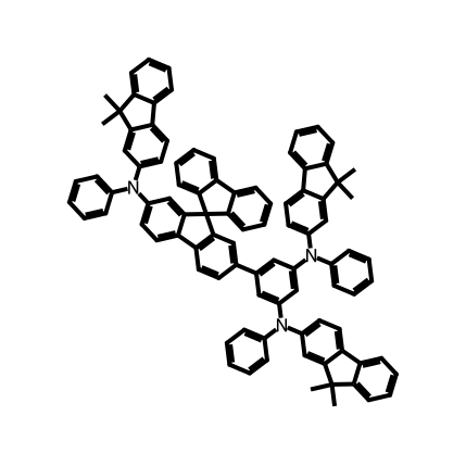 CC1(C)c2ccccc2-c2ccc(N(c3ccccc3)c3cc(-c4ccc5c(c4)C4(c6ccccc6-c6ccccc64)c4cc(N(c6ccccc6)c6ccc7c(c6)C(C)(C)c6ccccc6-7)ccc4-5)cc(N(c4ccccc4)c4ccc5c(c4)C(C)(C)c4ccccc4-5)c3)cc21